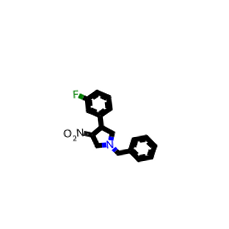 O=[N+]([O-])C1CN(Cc2ccccc2)CC1c1cccc(F)c1